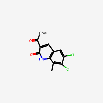 COC(=O)c1cc2cc(Cl)c(Cl)c(C)c2[nH]c1=O